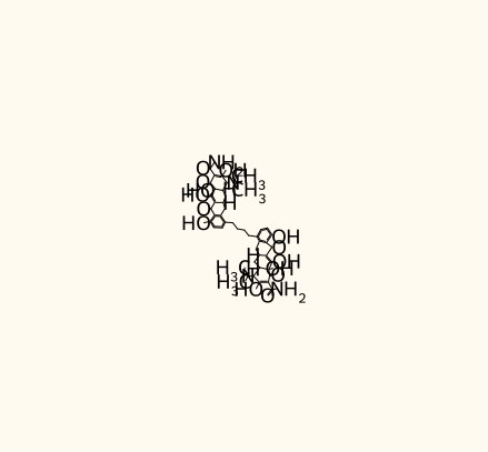 CN(C)[C@@H]1C(O)=C(C(N)=O)C(=O)[C@@]2(O)C(O)=C3C(=O)c4c(O)ccc(CCCCc5ccc(O)c6c5C[C@H]5C[C@H]7[C@H](N(C)C)C(O)=C(C(N)=O)C(=O)[C@@]7(O)C(O)=C5C6=O)c4C[C@H]3C[C@@H]12